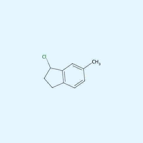 Cc1ccc2c(c1)C(Cl)CC2